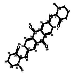 CN1CCCC(=O)C1N=C1C=C2C(=O)C3=CCC(=NC4C(=O)CCCN4C)C=C3C(=O)C2=CC1